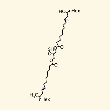 CCCCCCC(C)C/C=C/CCCCCCCC(=O)OC[C@H](COC(=O)CCCCCCC/C=C/CC(O)CCCCCC)OS